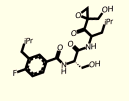 CC(C)Cc1cc(C(=O)N[C@@H](CO)C(=O)NC(CC(C)C)C(=O)C2(CO)CO2)ccc1F